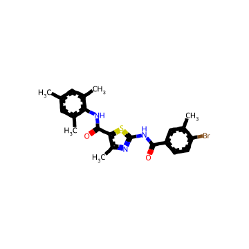 Cc1cc(C)c(NC(=O)c2sc(NC(=O)c3ccc(Br)c(C)c3)nc2C)c(C)c1